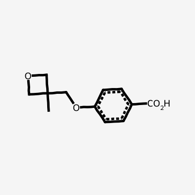 CC1(COc2ccc(C(=O)O)cc2)COC1